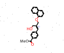 COC(=O)c1ccc(/C=C(\CO)COc2cccc3ccccc23)cc1